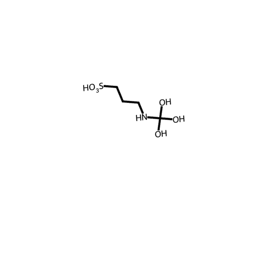 O=S(=O)(O)CCCNC(O)(O)O